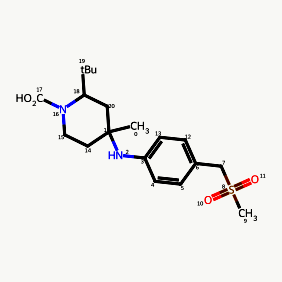 CC1(Nc2ccc(CS(C)(=O)=O)cc2)CCN(C(=O)O)C(C(C)(C)C)C1